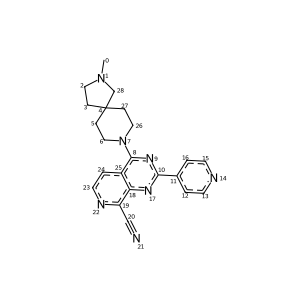 CN1CCC2(CCN(c3nc(-c4ccncc4)nc4c(C#N)nccc34)CC2)C1